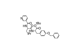 CC(C)CC(NC(=O)c1cccnc1)C(=O)NC(Cc1ccc(OCc2ccccc2)cc1)C(=O)OC(C)(C)C